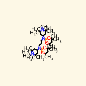 CC1CC(C)(C)OP(N(CCCN(C2CC(C)(C)N(C)C(C)(C)C2)P2OC(C)CC(C)(C)O2)C2CC(C)(C)N(C)C(C)(C)C2)O1